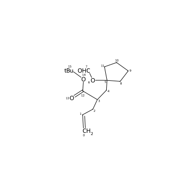 C=CCC(CC1(OC=O)CCCC1)C(=O)OC(C)(C)C